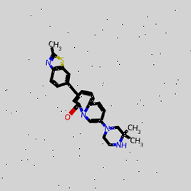 Cc1nc2ccc(C3=C\C(=O)N4C=C(N5CCNC(C)(C)C5)C=C\C4=C/C=C/3)cc2s1